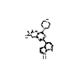 C[C@@H]1COCCN1c1cc(CS(C)(=N)=O)nc(-c2ccnc3[nH]ccc23)n1